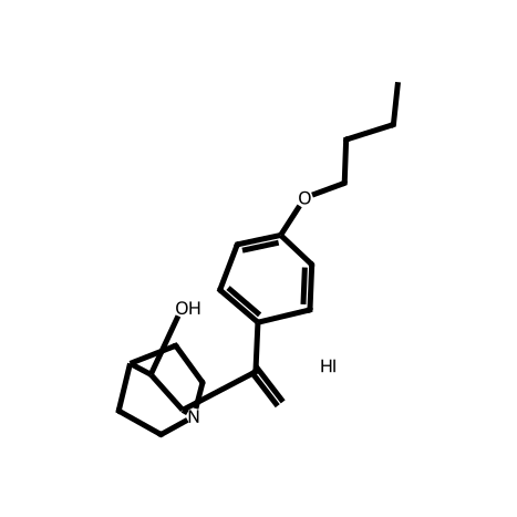 C=C(c1ccc(OCCCC)cc1)C1C(O)C2CCN1CC2.I